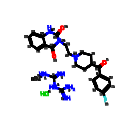 CCCCNC(=N)NC(=N)N.Cl.O=C(c1ccc(F)cc1)C1CCN(CCn2c(=O)[nH]c3ccccc3c2=O)CC1